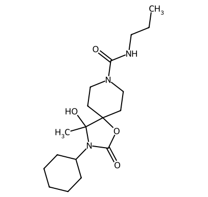 CCCNC(=O)N1CCC2(CC1)OC(=O)N(C1CCCCC1)C2(C)O